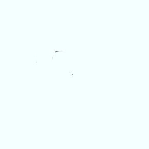 CCCN(P(c1cccs1)c1cccs1)P1[C@@H](c2ccccc2)CC[C@@H]1c1ccccc1